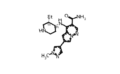 CC[C@H]1CNCC[C@H]1Nc1c(C(N)=O)cnn2cc(-c3cnn(C)c3)cc12